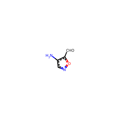 Nc1cnoc1C=O